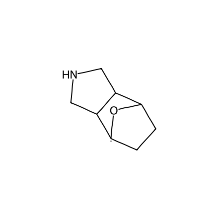 C1CC2O[C]1C1CNCC21